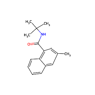 Cc1[c]c(C(=O)NC(C)(C)C)c2ccccc2c1